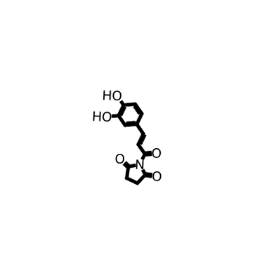 O=C(C=Cc1ccc(O)c(O)c1)N1C(=O)CCC1=O